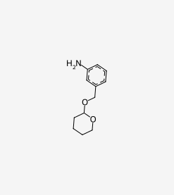 Nc1cccc(COC2CCCCO2)c1